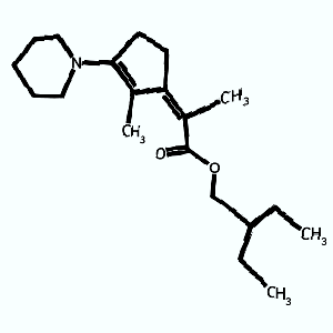 CCC(CC)COC(=O)/C(C)=C1/CCC(N2CCCCC2)=C1C